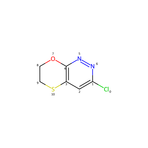 Clc1cc2c(nn1)OCCS2